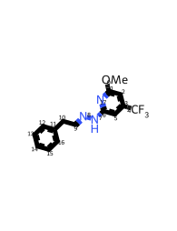 COc1cc(C(F)(F)F)cc(N/N=C/Cc2ccccc2)n1